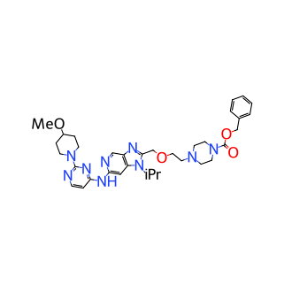 COC1CCN(c2nccc(Nc3cc4c(cn3)nc(COCCN3CCN(C(=O)OCc5ccccc5)CC3)n4C(C)C)n2)CC1